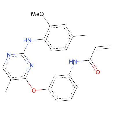 C=CC(=O)Nc1cccc(Oc2nc(Nc3ccc(C)cc3OC)ncc2C)c1